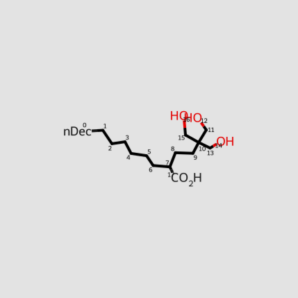 CCCCCCCCCCCCCCCCC(CCC(CO)(CO)CO)C(=O)O